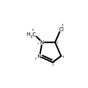 CN1N=[C]CC1Cl